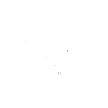 Cc1cc(-c2cc(-n3c4cc(-c5ccccc5C#N)ccc4c4ccc(-c5ccccc5C#N)cc43)c(C#N)cc2-n2c3cc(-c4ccccc4C#N)ccc3c3ccc(-c4ccccc4C#N)cc32)cc(C)n1